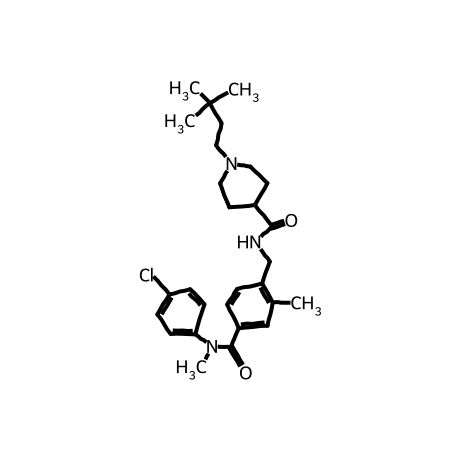 Cc1cc(C(=O)N(C)c2ccc(Cl)cc2)ccc1CNC(=O)C1CCN(CCC(C)(C)C)CC1